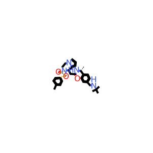 Cc1ccc(S(=O)(=O)N2CCn3cccc3C2CC(=O)N[C@H](C)c2ccc(CNC(C)(C)C)cc2)cc1